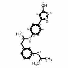 CC(C)Oc1cccc(CC(C)Oc2ccc(-c3cc(O)no3)cc2)c1